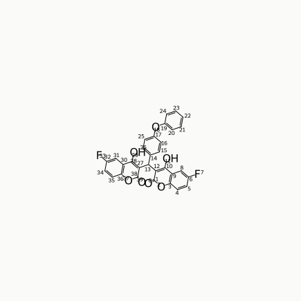 O=c1oc2ccc(F)cc2c(O)c1C(c1ccc(Oc2ccccc2)cc1)c1c(O)c2cc(F)ccc2oc1=O